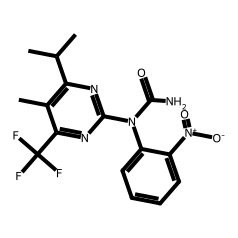 Cc1c(C(C)C)nc(N(C(N)=O)c2ccccc2[N+](=O)[O-])nc1C(F)(F)F